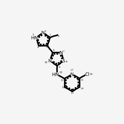 Cc1n[nH]cc1-c1nsc(Nc2cccc(Cl)n2)n1